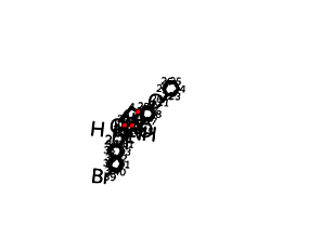 NC1CC2CCC(C1)N2C(=O)[C@@H](NS(=O)(=O)c1ccc(OCC2CCCCC2)cc1)C(F)(F)c1ccc2cc(Br)ccc2c1